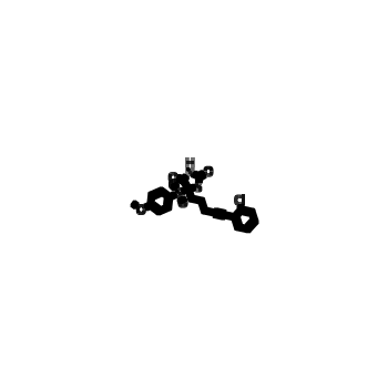 COc1ccc(S(=O)(=O)C2(CCCC#Cc3ccccc3Cl)SC(=O)NC2=O)cc1